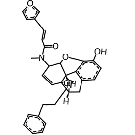 CN(C(=O)/C=C/c1ccoc1)C1C=C[C@@]2(O)[C@H]3Cc4ccc(O)c5c4[C@@]2(CCN3CCc2ccccc2)C1O5